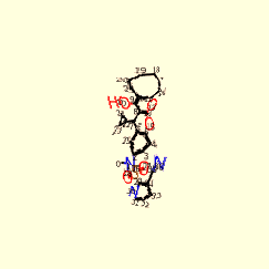 CN(c1cccc(C(c2c(O)c3c(oc2=O)CCCCCC3)C2CC2)c1)S(=O)(=O)c1ncccc1C#N